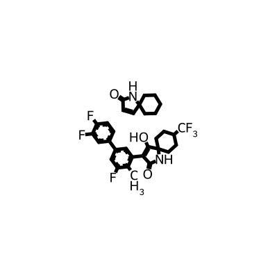 Cc1c(F)cc(-c2ccc(F)c(F)c2)cc1C1=C(O)C2(CCC(C(F)(F)F)CC2)NC1=O.O=C1C=CC2(CCCCC2)N1